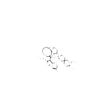 CN1CC2(CCC1=O)CCN(C1CCNC3(CCCCCCCC3)C1NC(=O)c1c(N)nn3cc(F)cnc13)CC2